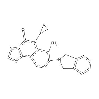 Cc1c(N2Cc3ccccc3C2)ccc2c3ocnc3c(=O)n(C3CC3)c12